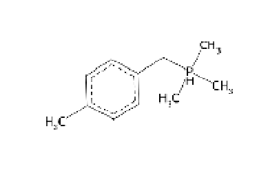 Cc1ccc(C[PH](C)(C)C)cc1